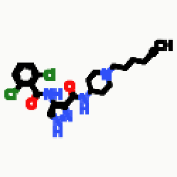 C#CCCCCN1CCC(NC(=O)c2n[nH]cc2NC(=O)c2c(Cl)cccc2Cl)CC1